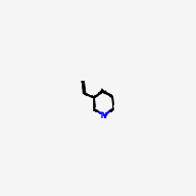 C=CC1[CH]CC[N]C1